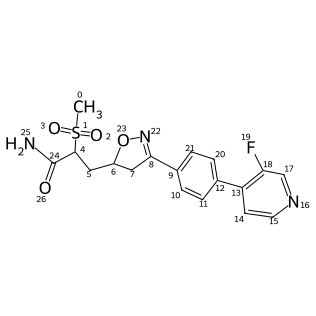 CS(=O)(=O)C(CC1CC(c2ccc(-c3ccncc3F)cc2)=NO1)C(N)=O